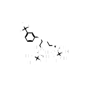 CC(C)(C)[Si](C)(C)OCC[C@H](CO[Si](C)(C)C(C)(C)C)Oc1cccc(C(F)(F)F)c1